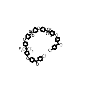 O=C(c1ccc(Cl)cc1)c1ccc(Oc2ccc(C(c3ccc(Oc4ccc(S(=O)(=O)c5ccc(Oc6ccc(C(c7ccc(Oc8ccc(C(=O)c9ccc(Cl)cc9)cc8)cc7)(C(F)(F)F)C(F)(F)F)cc6)cc5)cc4)cc3)(C(F)(F)F)C(F)(F)F)cc2)cc1